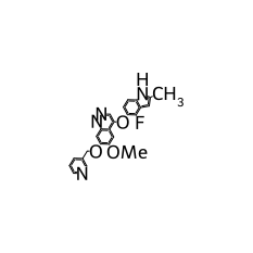 COc1cc2c(Oc3ccc4[nH]c(C)cc4c3F)cnnc2cc1OCc1cccnc1